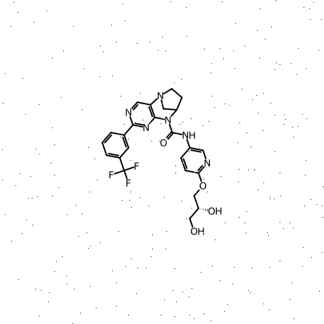 O=C(Nc1ccc(OC[C@H](O)CO)nc1)N1c2nc(-c3cccc(C(F)(F)F)c3)ncc2N2CCC1C2